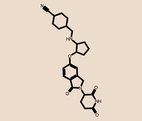 N#CC1CCC(CNC2CCCC2Oc2ccc3c(c2)CN(C2CCC(=O)NC2=O)C3=O)CC1